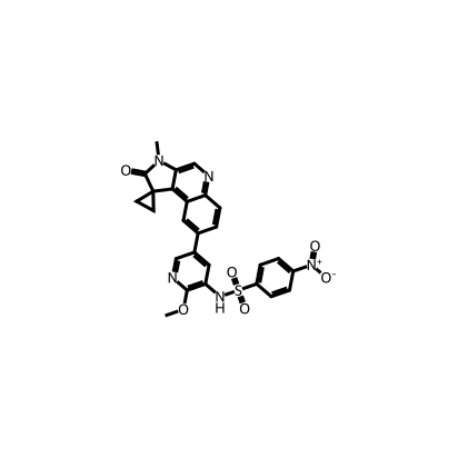 COc1ncc(-c2ccc3ncc4c(c3c2)C2(CC2)C(=O)N4C)cc1NS(=O)(=O)c1ccc([N+](=O)[O-])cc1